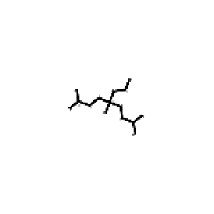 CCCC(C)(CCC(C)C)CCC(C)C